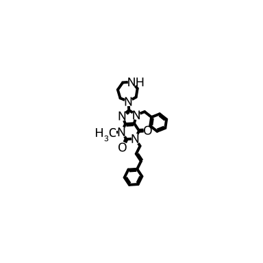 Cn1c(=O)n(CC=Cc2ccccc2)c(=O)c2c1nc(N1CCCNCC1)n2Cc1ccccc1